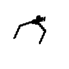 CCCCCCCC/C=C\CCCCCCCCOCC(OCCCCCCCC/C=C\CCCCCCCC)C(=O)O